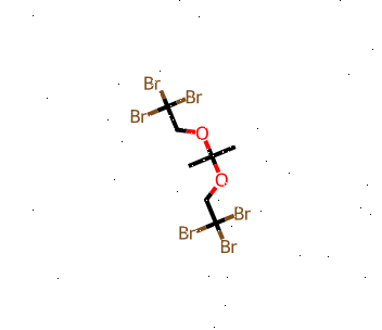 CC(C)(OCC(Br)(Br)Br)OCC(Br)(Br)Br